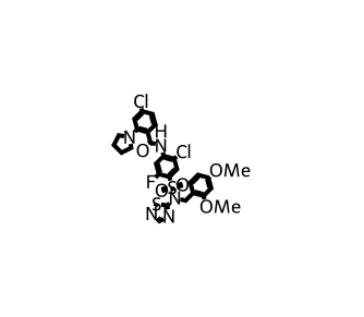 COc1ccc(CN(c2ncns2)S(=O)(=O)c2cc(Cl)c(NC(=O)c3ccc(Cl)cc3N3CCCC3)cc2F)c(OC)c1